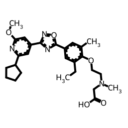 CCc1cc(-c2nc(-c3cc(OC)nc(C4CCCC4)c3)no2)cc(C)c1OCCN(C)CC(=O)O